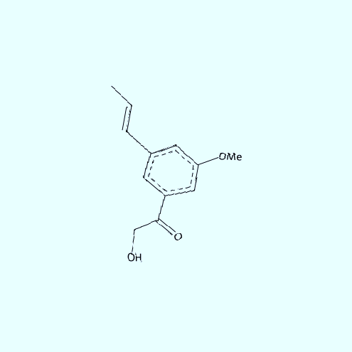 CC=Cc1cc(OC)cc(C(=O)CO)c1